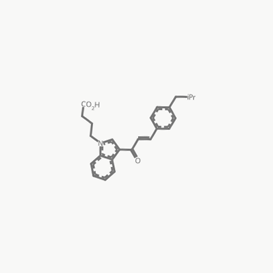 CC(C)Cc1ccc(/C=C/C(=O)c2cn(CCCC(=O)O)c3ccccc23)cc1